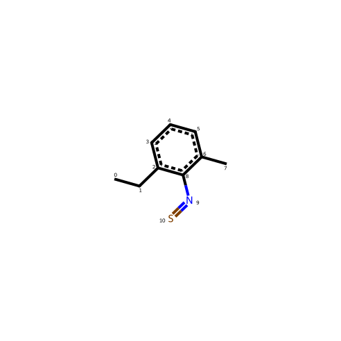 CCc1cccc(C)c1N=S